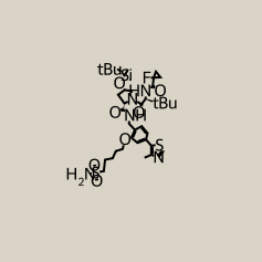 Cc1ncsc1-c1ccc(CNC(=O)[C@@H]2C[C@@H](O[Si](C)(C)C(C)(C)C)CN2C(=O)[C@@H](NC(=O)C2(F)CC2)C(C)(C)C)c(OCCCCCS(N)(=O)=O)c1